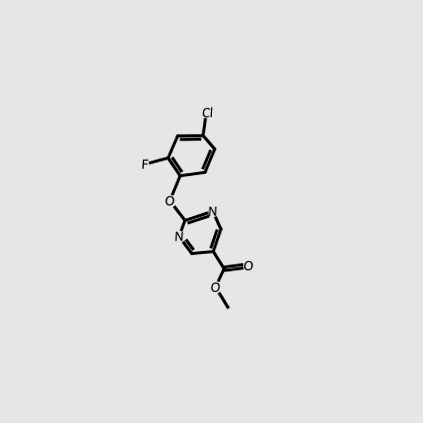 COC(=O)c1cnc(Oc2ccc(Cl)cc2F)nc1